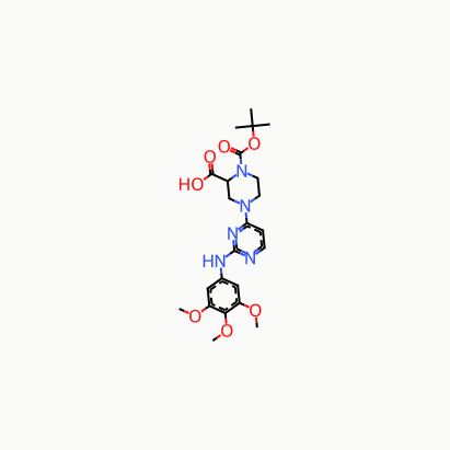 COc1cc(Nc2nccc(N3CCN(C(=O)OC(C)(C)C)C(C(=O)O)C3)n2)cc(OC)c1OC